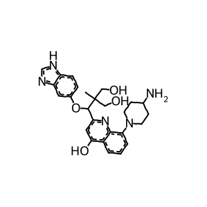 CC(CO)(CO)C(Oc1ccc2[nH]cnc2c1)c1cc(O)c2cccc(N3CCC(N)CC3)c2n1